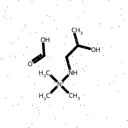 CC(O)CN[N+](C)(C)C.O=CO